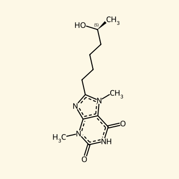 C[C@H](O)CCCCc1nc2c(c(=O)[nH]c(=O)n2C)n1C